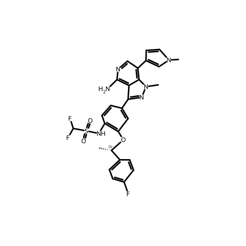 C[C@H](Oc1cc(-c2nn(C)c3c(-c4ccn(C)c4)cnc(N)c23)ccc1NS(=O)(=O)C(F)F)c1ccc(F)cc1